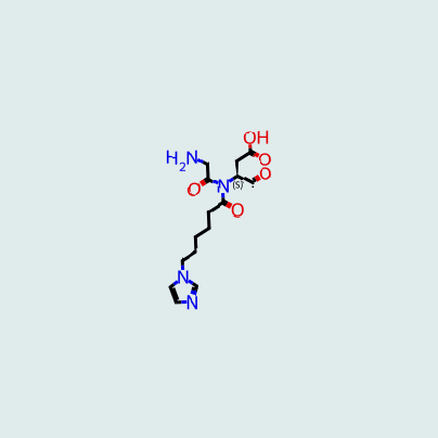 NCC(=O)N(C(=O)CCCCCn1ccnc1)[C@H]([C]=O)CC(=O)O